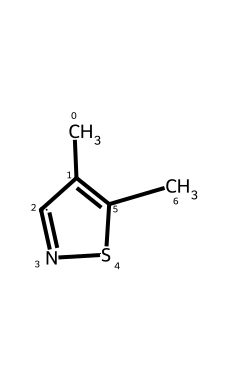 Cc1[c]nsc1C